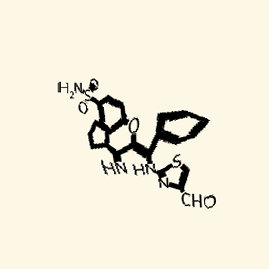 N=C(/C(Oc1ccc(S(N)(=O)=O)cc1)=C(\Nc1nc(C=O)cs1)c1ccccc1)C1CCCC1